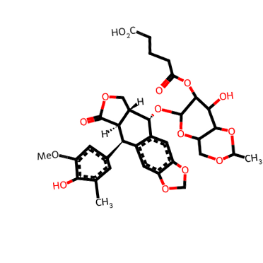 COc1cc([C@@H]2c3cc4c(cc3[C@@H](OC3OC5COC(C)OC5C(O)C3OC(=O)CCCC(=O)O)[C@H]3COC(=O)[C@H]23)OCO4)cc(C)c1O